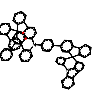 c1ccc(-c2ccccc2-c2ccccc2N(c2ccc(-c3ccc4c(c3)C3(c5ccccc5-4)c4ccccc4-n4c5ccccc5c5cccc3c54)cc2)c2ccc3c(c2)C2(c4ccccc4-c4ccccc42)c2ccccc2-3)cc1